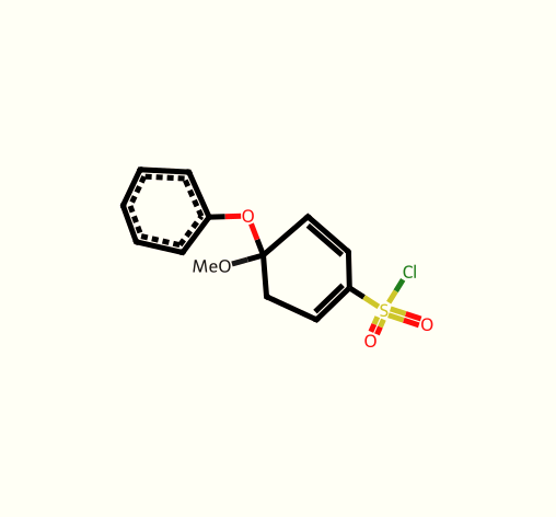 COC1(Oc2ccccc2)C=CC(S(=O)(=O)Cl)=CC1